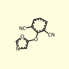 N#Cc1cccc(C#N)c1Oc1cn[c]o1